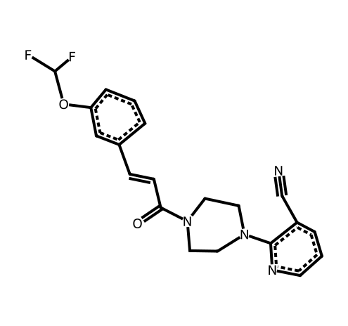 N#Cc1cccnc1N1CCN(C(=O)C=Cc2cccc(OC(F)F)c2)CC1